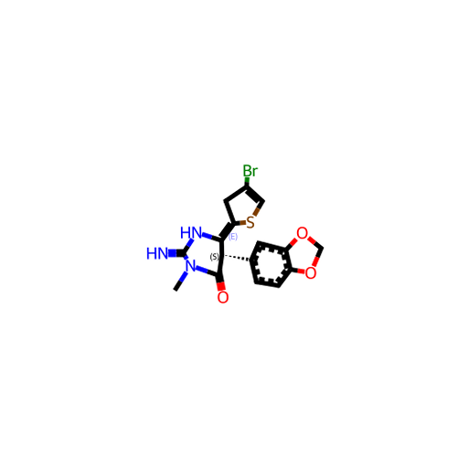 CN1C(=N)N/C(=C2\CC(Br)=CS2)[C@H](c2ccc3c(c2)OCO3)C1=O